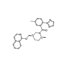 Cc1ccc(-n2nccn2)c(C(=O)N2C[C@H](COc3nccc4ccccc34)CC[C@@H]2C)c1